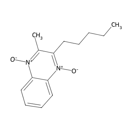 CCCCCc1c(C)[n+]([O-])c2ccccc2[n+]1[O-]